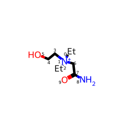 CC[N+](CC)(CCO)CC(N)=O